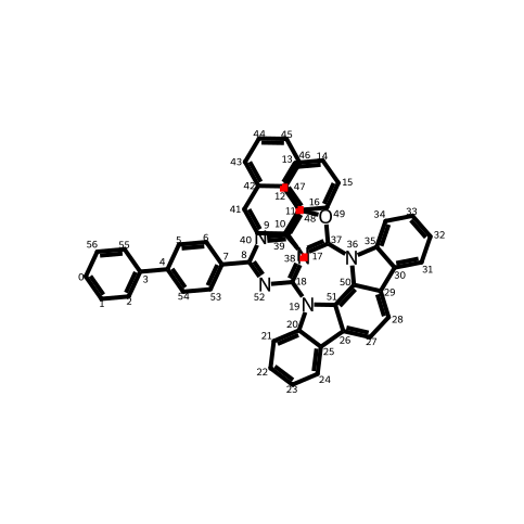 c1ccc(-c2ccc(-c3nc(-c4ccccc4)nc(-n4c5ccccc5c5ccc6c7ccccc7n(-c7nc8ccc9ccccc9c8o7)c6c54)n3)cc2)cc1